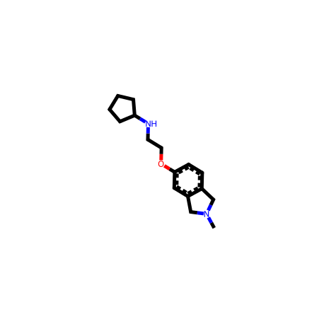 CN1Cc2ccc(OCCNC3CCCC3)cc2C1